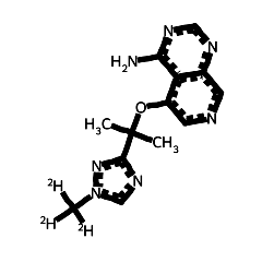 [2H]C([2H])([2H])n1cnc(C(C)(C)Oc2cncc3ncnc(N)c23)n1